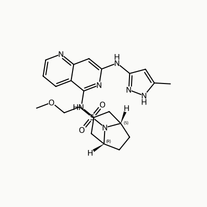 COCCS(=O)(=O)N1[C@@H]2CC[C@H]1CC(Nc1nc(Nc3cc(C)[nH]n3)cc3ncccc13)C2